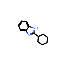 c1ccc2[nH]c(C3CCCCC3)nc2c1